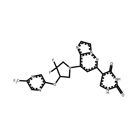 O=c1[nH]cc(-c2cc(N3CC(Oc4cnc(C(F)(F)F)cn4)C(F)(F)C3)c3nccn3n2)c(=O)[nH]1